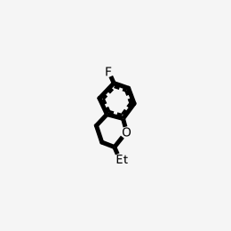 CCC1CCc2cc(F)ccc2O1